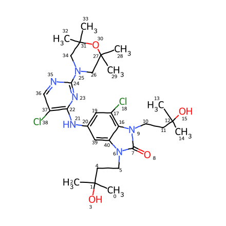 CC(C)(O)CCn1c(=O)n(CCC(C)(C)O)c2c(Cl)cc(Nc3nc(N4CC(C)(C)OC(C)(C)C4)ncc3Cl)cc21